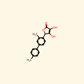 Cc1ccc(-c2ccc(C3OC(=O)C(O)=C3O)c(C)c2)cc1